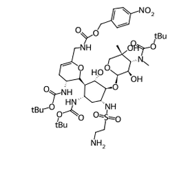 CN(C(=O)OC(C)(C)C)[C@@H]1[C@@H](O)[C@@H](O[C@@H]2[C@@H](O)[C@H](C3OC(CNC(=O)OCc4ccc([N+](=O)[O-])cc4)=CC[C@H]3NC(=O)OC(C)(C)C)[C@@H](NC(=O)OC(C)(C)C)C[C@H]2NS(=O)(=O)CCN)OC[C@]1(C)O